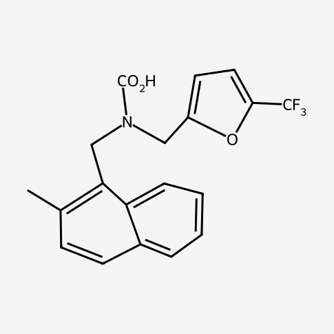 Cc1ccc2ccccc2c1CN(Cc1ccc(C(F)(F)F)o1)C(=O)O